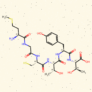 CSCC[C@H](N)C(=O)NCC(=O)N[C@@H](CS)C(=O)N[C@H](C(=O)N[C@@H](Cc1ccc(O)cc1)C(=O)N[C@H](C(=O)O)[C@@H](C)O)[C@@H](C)O